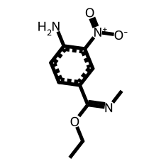 CCO/C(=N/C)c1ccc(N)c([N+](=O)[O-])c1